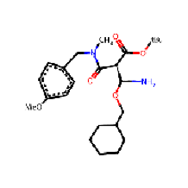 COc1ccc(CN(C)C(=O)[C@@H](C(=O)OC(C)(C)C)C(N)OCC2CCCCC2)cc1